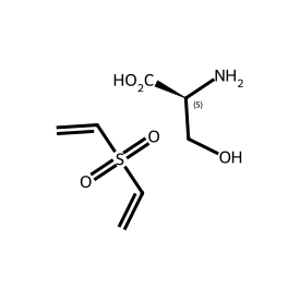 C=CS(=O)(=O)C=C.N[C@@H](CO)C(=O)O